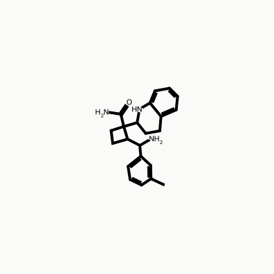 Cc1cccc(C(N)C2CCC2(C(N)=O)C2CCc3ccccc3N2)c1